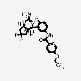 NC1=N[C@](CF)(c2cc(NC(=O)c3ccc(OCC(F)(F)F)cn3)ccc2F)[C@H]2CC(F)(F)C[C@H]2O1